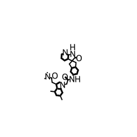 Cc1cc(C)c2c(CC(=O)N(C)C)cn(CC(=O)Nc3ccc4c(c3)CC3(C4)C(=O)Nc4ncccc43)c2c1